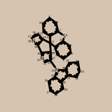 c1ccc2c(c1)Sc1ccccc1C21c2cccnc2-c2ncc(-n3c4ccccc4c4ccccc43)cc21